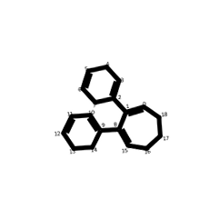 [C]1=C(C2=CCC=CC2)C(C2=CC=CCC2)=CCCC1